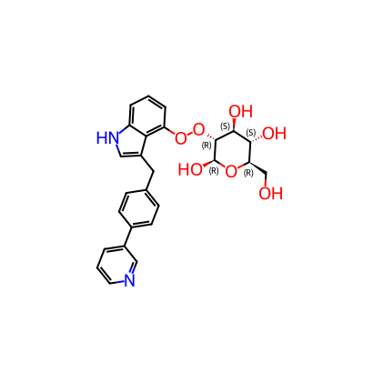 OC[C@H]1O[C@@H](O)[C@H](OOc2cccc3[nH]cc(Cc4ccc(-c5cccnc5)cc4)c23)[C@@H](O)[C@@H]1O